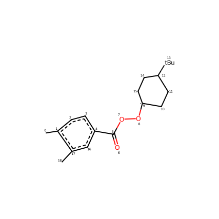 Cc1ccc(C(=O)OO[C]2CCC(C(C)(C)C)CC2)cc1C